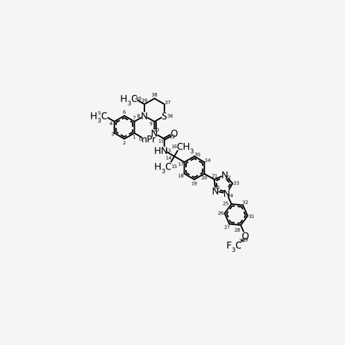 CCCc1ccc(C)cc1N1/C(=N/C(=O)NC(C)(C)c2ccc(-c3ncn(-c4ccc(OC(F)(F)F)cc4)n3)cc2)SCCC1C